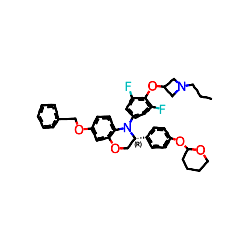 CCCN1CC(Oc2c(F)cc(N3c4ccc(OCc5ccccc5)cc4OC[C@H]3c3ccc(OC4CCCCO4)cc3)cc2F)C1